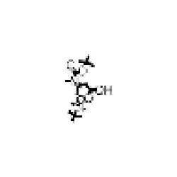 CN(C(=O)OC(C)(C)C)[C@H](CO[Si](C)(C)C(C)(C)C)CC(=O)O